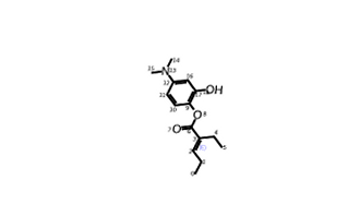 CC/C=C(\CC)C(=O)Oc1ccc(N(C)C)cc1O